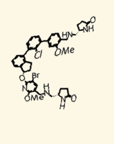 COc1cc(-c2cccc(-c3cccc4c3CC[C@@H]4Oc3nc(OC)c(CNC[C@@H]4CCC(=O)N4)cc3Br)c2Cl)ccc1CNC[C@@H]1CCC(=O)N1